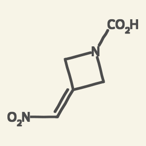 O=C(O)N1CC(=C[N+](=O)[O-])C1